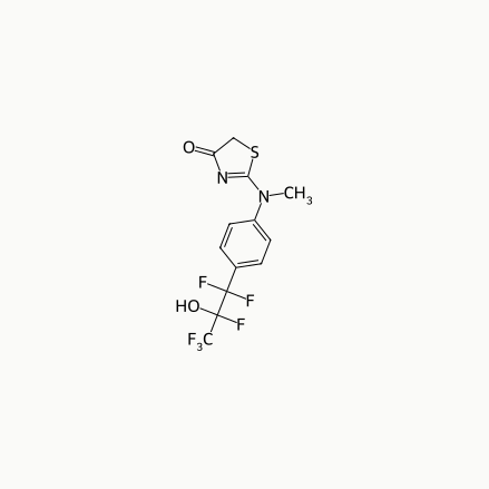 CN(C1=NC(=O)CS1)c1ccc(C(F)(F)C(O)(F)C(F)(F)F)cc1